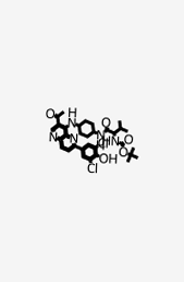 CC(=O)c1cnc2ccc(-c3cc(Cl)c(O)c(Cl)c3)nc2c1NC1CCC(NC(=O)C(NC(=O)OC(C)(C)C)C(C)C)CC1